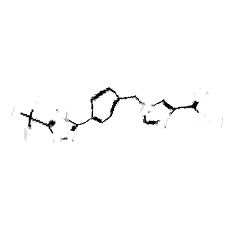 O=C(O)c1cn(Cc2ccc(-c3noc(C(F)(F)F)n3)cc2)cn1